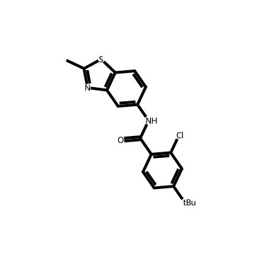 Cc1nc2cc(NC(=O)c3ccc(C(C)(C)C)cc3Cl)ccc2s1